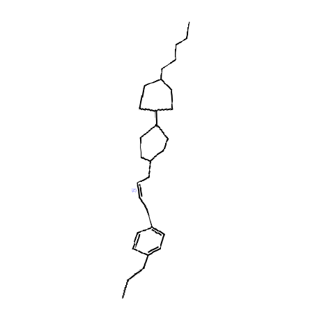 CCCCCC1CCC(C2CCC(C/C=C\Cc3ccc(CCC)cc3)CC2)CC1